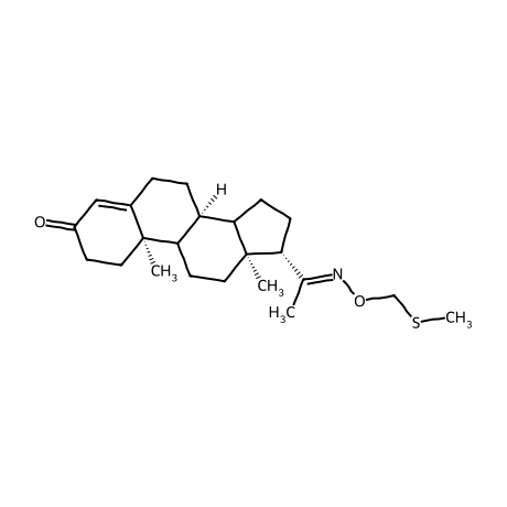 CSCO/N=C(\C)[C@H]1CCC2[C@@H]3CCC4=CC(=O)CC[C@]4(C)C3CC[C@@]21C